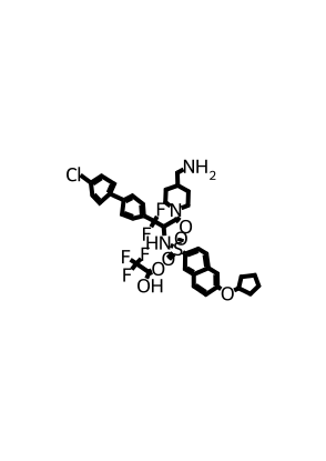 NCC1CCN(C(=O)C(NS(=O)(=O)c2ccc3cc(OC4CCCC4)ccc3c2)C(F)(F)c2ccc(-c3ccc(Cl)cc3)cc2)CC1.O=C(O)C(F)(F)F